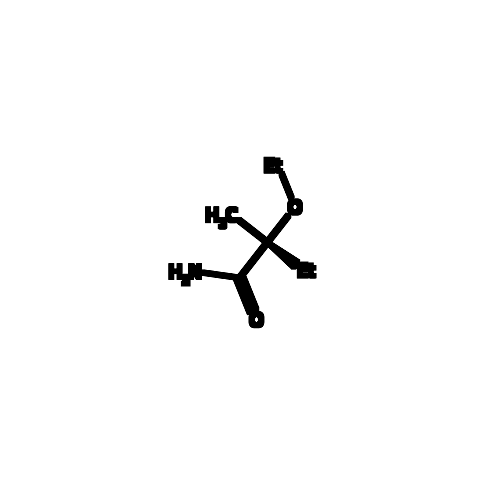 CCO[C@](C)(CC)C(N)=O